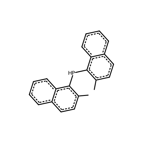 Cc1ccc2ccccc2c1Pc1c(C)ccc2ccccc12